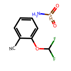 N#Cc1ccccc1OC(F)F.N[SH](=O)=O